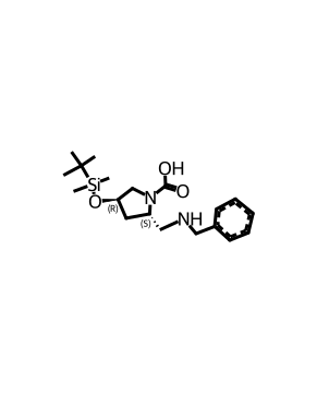 CC(C)(C)[Si](C)(C)O[C@@H]1C[C@@H](CNCc2ccccc2)N(C(=O)O)C1